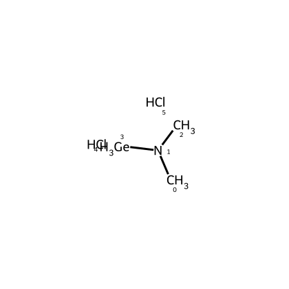 C[N](C)[GeH3].Cl.Cl